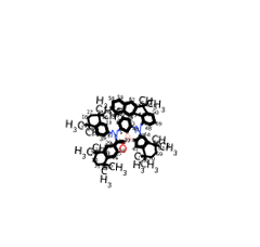 Cc1cc2c3c(c1)N(c1ccc4c(c1)C(C)(C)CCC4(C)C)c1c(oc4cc5c(cc14)C(C)(C)CCC5(C)C)B3c1cc3c(cc1N2c1cccc2c1-c1cc4ccccc4cc1C2(C)C)C(C)(C)CCC3(C)C